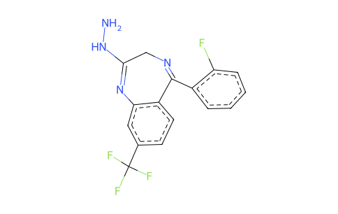 NNC1=Nc2cc(C(F)(F)F)ccc2C(c2ccccc2F)=NC1